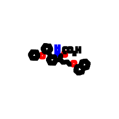 O=C(O)Oc1[nH]c2c(-c3ccccc3Oc3ccccc3)cccc2c1CCCOc1cccc2ccccc12